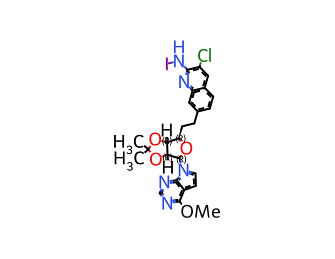 COc1ncnc2c1ccn2[C@@H]1O[C@H](CCc2ccc3cc(Cl)c(NI)nc3c2)[C@H]2OC(C)(C)O[C@H]21